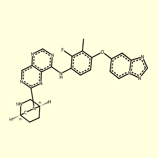 Cc1c(Oc2ccn3ncnc3c2)ccc(Nc2ncnc3cnc(N4C[C@H]5CC[C@@H]4CN5)nc23)c1F